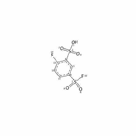 O=S(=O)(O)c1cc(S(=O)(=O)F)ccc1F